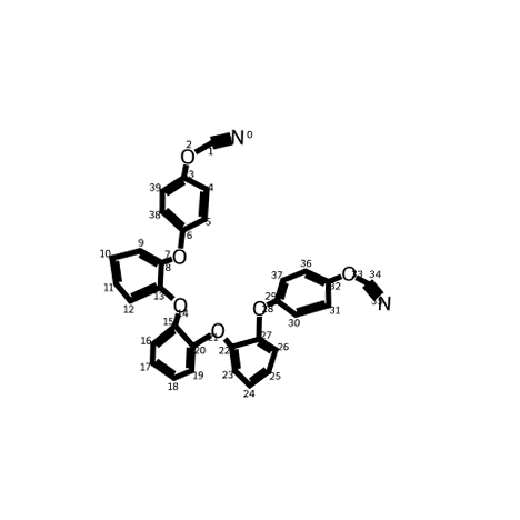 N#COc1ccc(Oc2ccccc2Oc2ccccc2Oc2ccccc2Oc2ccc(OC#N)cc2)cc1